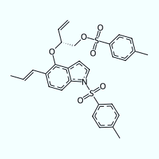 C=C[C@H](COS(=O)(=O)c1ccc(C)cc1)Oc1c(/C=C/C)ccc2c1ccn2S(=O)(=O)c1ccc(C)cc1